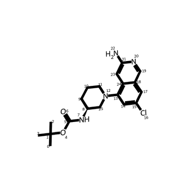 CC(C)(C)OC(=O)N[C@H]1CCCN(c2cc(Cl)cc3cnc(N)cc23)C1